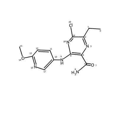 CCc1nc(C(N)=O)c(Nc2ccc(OC)nc2)nc1Cl